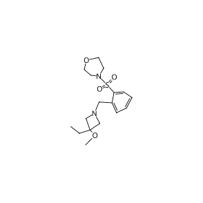 CCC1(OC)CN(Cc2ccccc2S(=O)(=O)N2CCOCC2)C1